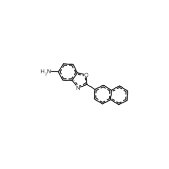 Nc1ccc2oc(-c3ccc4ccccc4c3)nc2c1